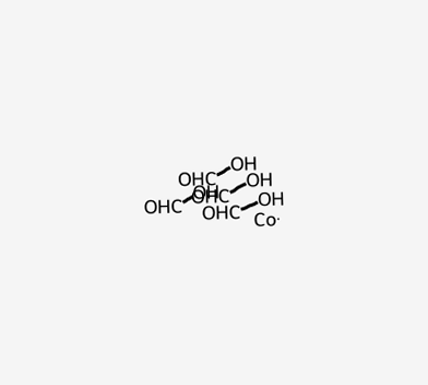 O=CO.O=CO.O=CO.O=CO.[Co]